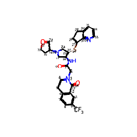 O=C(CN1CCc2ccc(C(F)(F)F)cc2C1=O)NC1CN(C2CCOC2)C[C@@H]1SC1CCc2cccnc21